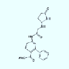 COC(=O)c1ccc(NC(=O)CN[C@@H]2CCC(=O)N2)cc1-c1ccccc1